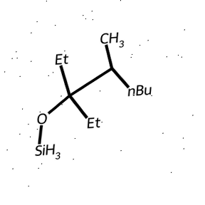 CCCCC(C)C(CC)(CC)O[SiH3]